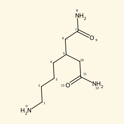 NCCCCC([CH]C(N)=O)CC(N)=O